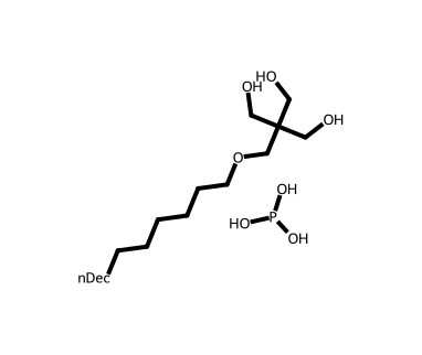 CCCCCCCCCCCCCCCCOCC(CO)(CO)CO.OP(O)O